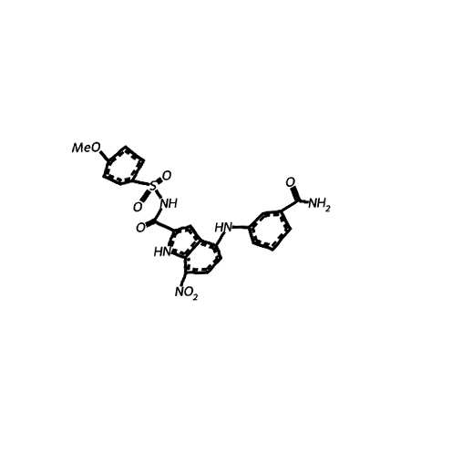 COc1ccc(S(=O)(=O)NC(=O)c2cc3c(Nc4cccc(C(N)=O)c4)ccc([N+](=O)[O-])c3[nH]2)cc1